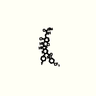 CC(C)(C)C(=O)NCc1ccc(Cl)c(Nc2nc3cc(C(=O)N[C@H]4CC[C@H](C(F)(F)F)CC4)c(N4CCC(F)CC4)nc3[nH]2)c1Cl